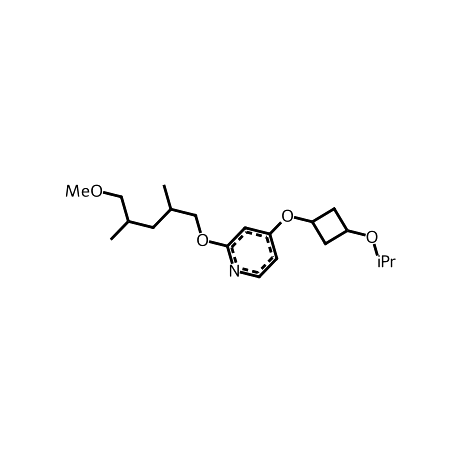 COCC(C)CC(C)COc1cc(OC2CC(OC(C)C)C2)ccn1